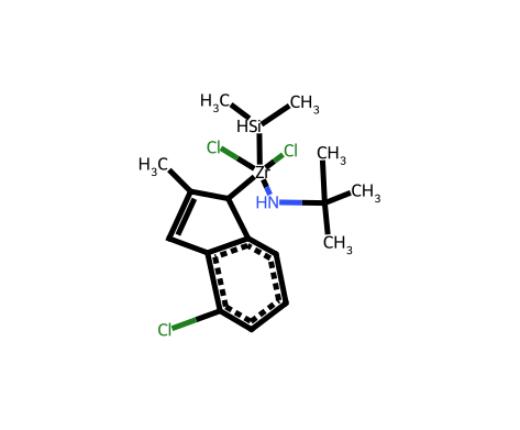 CC1=Cc2c(Cl)cccc2[CH]1[Zr]([Cl])([Cl])([NH]C(C)(C)C)[SiH](C)C